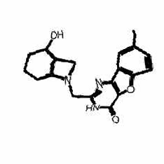 Cc1ccc2oc3c(=O)[nH]c(CN4CC5C(O)CCCC54)nc3c2c1